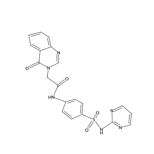 O=C(Cn1cnc2ccccc2c1=O)Nc1ccc(S(=O)(=O)Nc2ncccn2)cc1